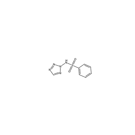 O=S(=O)(Nn1ncnn1)c1ccccc1